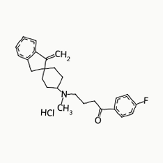 C=C1c2ccccc2CC12CCC(N(C)CCCC(=O)c1ccc(F)cc1)CC2.Cl